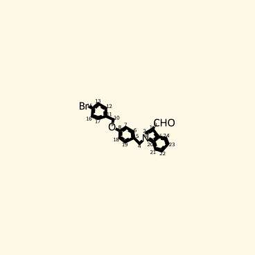 O=Cc1cn(Cc2ccc(OCc3ccc(Br)cc3)cc2)c2ccccc12